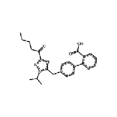 CCCCC(=O)c1nc(Cc2ccc(-c3ncccc3C(=O)O)cc2)n(C(C)C)n1